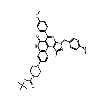 COc1ccc(Cn2nc(C)c3c4c(c(-c5ccc(OC)cc5)nc32)c(=O)[nH]c2cc(N3CCN(C(=O)OC(C)(C)C)CC3)ccc24)cc1